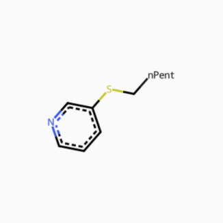 [CH2]CCCCCSc1cccnc1